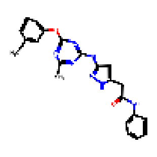 Cc1cccc(Oc2nc(C)nc(Nc3cc(CC(=O)Nc4ccccc4)[nH]n3)n2)c1